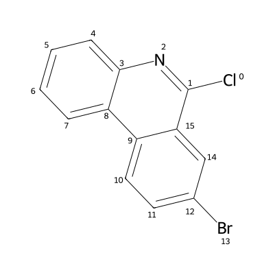 Clc1nc2ccccc2c2ccc(Br)cc12